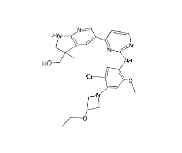 CCOC1CN(c2cc(OC)c(Nc3nccc(-c4cnc5c(c4)C(C)(CO)CN5)n3)cc2Cl)C1